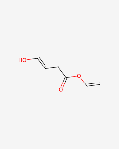 C=COC(=O)CC=CO